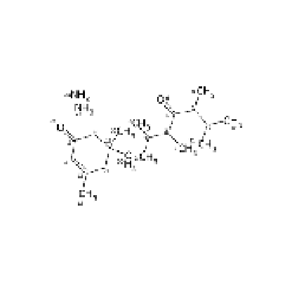 CC(C)C(C)C(=O)C(C)C(C)C.CC1=CC(=O)CC(C)(C)C1.N.N